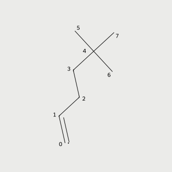 [CH]=CCCC(C)(C)C